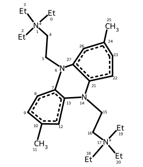 CC[N+](CC)(CC)CCN1c2ccc(C)cc2N(CC[N+](CC)(CC)CC)c2ccc(C)cc21